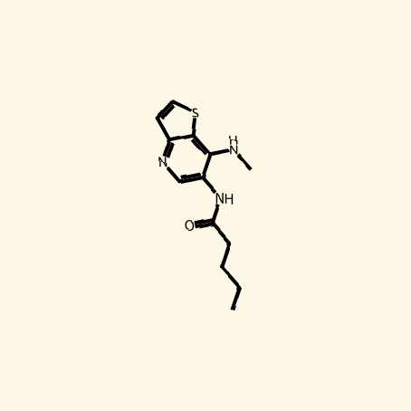 CCCCC(=O)Nc1cnc2ccsc2c1NC